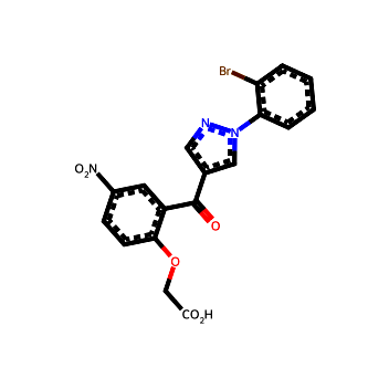 O=C(O)COc1ccc([N+](=O)[O-])cc1C(=O)c1cnn(-c2ccccc2Br)c1